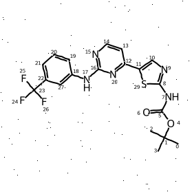 CC(C)(C)OC(=O)Nc1ncc(-c2ccnc(Nc3cccc(C(F)(F)F)c3)n2)s1